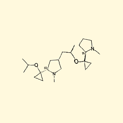 CC(C)OC1([C@@H]2CC(CC(C)OC3([C@H]4CCCN4C)CC3)CN2C)CC1